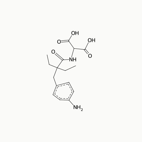 CCC(CC)(Cc1ccc(N)cc1)C(=O)NC(C(=O)O)C(=O)O